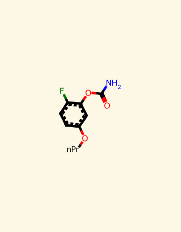 CCCOc1ccc(F)c(OC(N)=O)c1